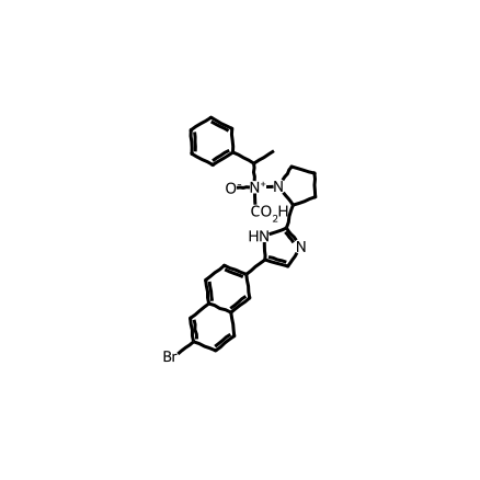 CC(c1ccccc1)[N+]([O-])(C(=O)O)N1CCCC1c1ncc(-c2ccc3cc(Br)ccc3c2)[nH]1